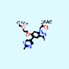 COCOCCOc1cc2c(cc1-c1cnc(C)nc1)c(I)nn2CC(=O)OC